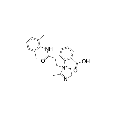 CC1=NCC[N+]1(CCC(=O)Nc1c(C)cccc1C)c1ccccc1C(=O)O